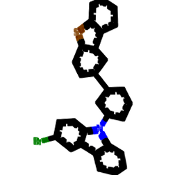 Brc1ccc2c(c1)c1ccccc1n2-c1cccc(-c2ccc3sc4ccccc4c3c2)c1